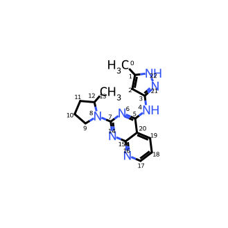 Cc1cc(Nc2nc(N3CCCC3C)nc3ncccc23)n[nH]1